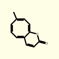 CC1=C/C=c2/oc(=O)cc/c2=C/C=C\1